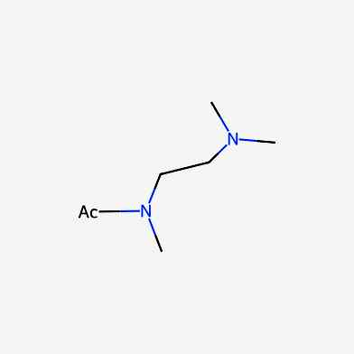 CC(=O)N(C)CCN(C)C